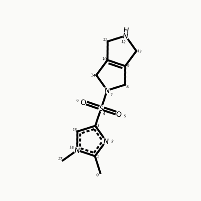 Cc1nc(S(=O)(=O)N2CC3=C(CNC3)C2)cn1C